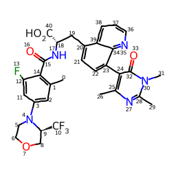 Cc1cc(N2CCOC[C@@H]2C(F)(F)F)cc(F)c1C(=O)N[C@@H](Cc1ccc(-c2c(C)nc(C)n(C)c2=O)c2ncccc12)C(=O)O